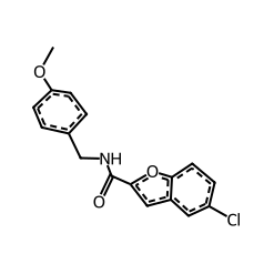 COc1ccc(CNC(=O)c2cc3cc(Cl)ccc3o2)cc1